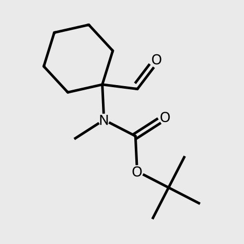 CN(C(=O)OC(C)(C)C)C1(C=O)CCCCC1